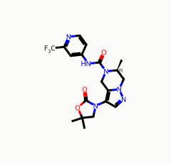 C[C@H]1Cn2ncc(N3CC(C)(C)OC3=O)c2CN1C(=O)Nc1ccnc(C(F)(F)F)c1